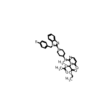 CCOC(=O)C(OC(C)=O)n1c(N(C)C2CCN(c3nc4ccccc4n3Cc3ccc(F)cc3)CC2)nccc1=O